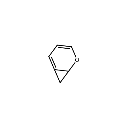 C1=COC2CC2=C1